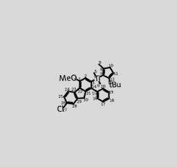 COc1c[c]([Ti]([CH3])([CH3])[C]2=C(C)CC=C2C(C)(C)C)c(-c2ccccc2)c2c1-c1ccc(Cl)cc1C2